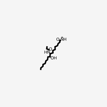 CCCCCCCCC(O)C(CCCCCCCC(=O)NC)NC(=O)CC